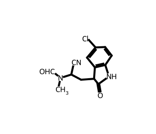 CN(C=O)C(C#N)CC1C(=O)Nc2ccc(Cl)cc21